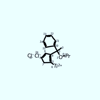 CC(C)OC(C)(C1=[C]([Ti+2])CC=C1)c1ccccc1.[Cl-].[Cl-]